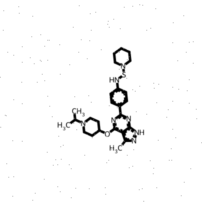 Cc1n[nH]c2nc(-c3ccc(NSN4CCCCC4)cc3)nc(OC3CCN(C(C)C)CC3)c12